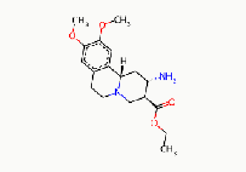 CCOC(=O)[C@H]1CN2CCc3cc(OC)c(OC)cc3[C@@H]2C[C@@H]1N